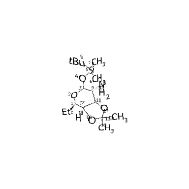 CC[C@H]1OC(O[Si](C)(C)C(C)(C)C)[C@H](N)C2OC(C)(C)O[C@H]21